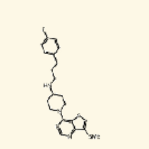 CSc1csc2c(N3CCC(NCCCc4ccc(F)cc4)CC3)ncnc12